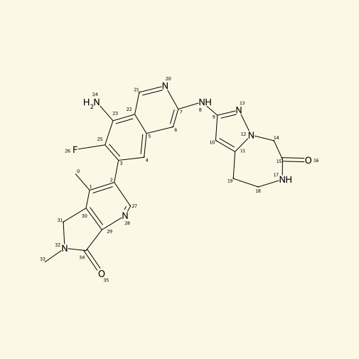 Cc1c(-c2cc3cc(Nc4cc5n(n4)CC(=O)NCC5)ncc3c(N)c2F)cnc2c1CN(C)C2=O